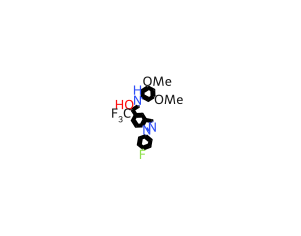 COc1cc(NCC(O)(c2ccc3c(cnn3-c3ccc(F)cc3)c2)C(F)(F)F)cc(OC)c1